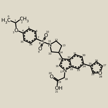 CC(C)Oc1ccc(S(=O)(=O)N2CCC(c3cn(CC(=O)O)c4cc(-c5ccoc5)ccc34)C2)cc1